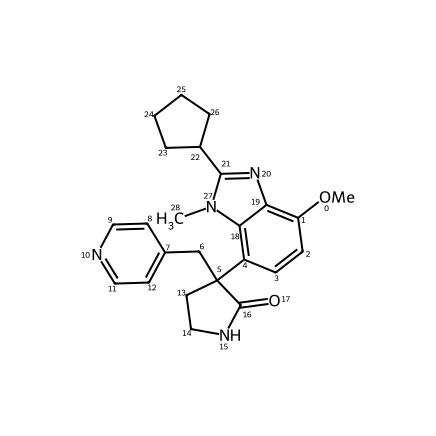 COc1ccc(C2(Cc3ccncc3)CCNC2=O)c2c1nc(C1CCCC1)n2C